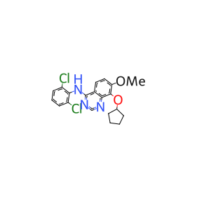 COc1ccc2c(Nc3c(Cl)cccc3Cl)ncnc2c1OC1CCCC1